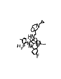 CCc1ccc(C2C(c3ccc(F)cc3F)=NN(c3ccc(C)cc3P)C2(C)C(=O)NCC2CN(C3CC3)CCO2)o1